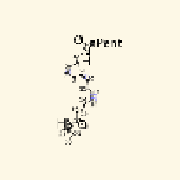 CCCCCC(=O)NCC/C=C\C/C=C\C/C=C\CCCC(=O)NC1(C)CC1